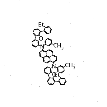 CCc1ccccc1-c1cccc2c1oc1c(N(c3cccc(C)c3)c3ccc4ccc5c(N(c6cccc(C)c6)c6cccc7c6oc6c(-c8ccccc8CC)cccc67)ccc6ccc3c4c65)cccc12